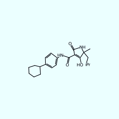 CC(C)CC1(C)NC(=O)C(C(=O)Nc2ccc(C3CCCCC3)cc2)=C1O